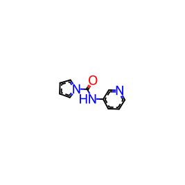 O=C(Nc1cccnc1)n1cccc1